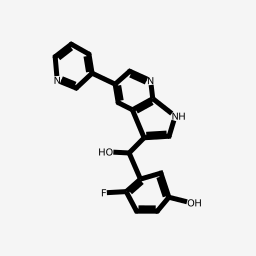 Oc1ccc(F)c(C(O)c2c[nH]c3ncc(-c4cccnc4)cc23)c1